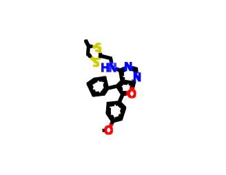 COc1ccc(-c2oc3ncnc(NCC4SCC(C)S4)c3c2-c2ccccc2)cc1